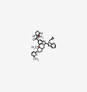 COc1cc(C(=O)N2C[C@H]3CC[C@@H]2[C@@H]3N)cc2nc(-c3cc4cccnc4n3CC3CC3)n(CC3CCN(c4ccnc(C)n4)CC3)c12